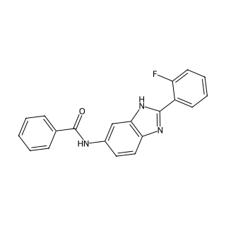 O=C(Nc1ccc2nc(-c3ccccc3F)[nH]c2c1)c1ccccc1